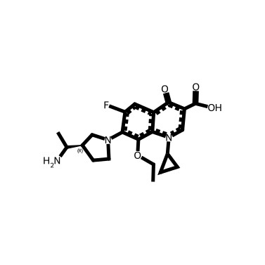 CCOc1c(N2CC[C@@H](C(C)N)C2)c(F)cc2c(=O)c(C(=O)O)cn(C3CC3)c12